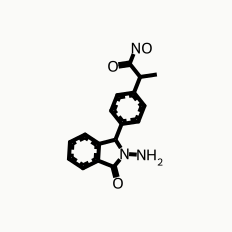 CC(C(=O)N=O)c1ccc(C2c3ccccc3C(=O)N2N)cc1